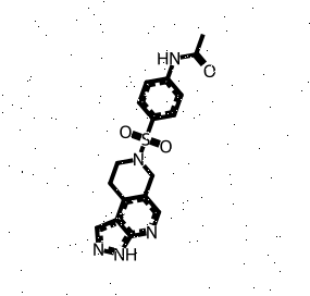 CC(=O)Nc1ccc(S(=O)(=O)N2CCc3c(cnc4[nH]ncc34)C2)cc1